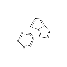 C1=CC2=CC=CC2=C1.b1cccnn1